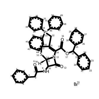 O=C(Cc1ccccc1)NC1C(=O)N2C(C(=O)OC(c3ccccc3)c3ccccc3)=C(C[P+](c3ccccc3)(c3ccccc3)c3ccccc3)CS[C@@H]12.[Br-]